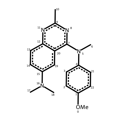 COc1ccc(N(C)c2nc(C)nc3ccc(N(C)C)cc23)cc1